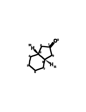 O=C1C[C@H]2CCCC[C@@H]2C1